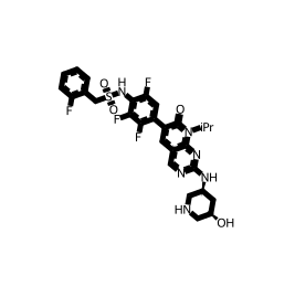 CC(C)n1c(=O)c(-c2cc(F)c(NS(=O)(=O)Cc3ccccc3F)c(F)c2F)cc2cnc(N[C@@H]3CNC[C@H](O)C3)nc21